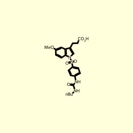 CCCCNC(=O)Nc1ccc(S(=O)(=O)n2cc(CCC(=O)O)c3cc(OC)ccc32)cc1